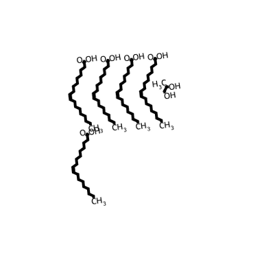 CC(O)CO.CCCCCCCC/C=C\CCCCCCCC(=O)O.CCCCCCCC/C=C\CCCCCCCC(=O)O.CCCCCCCC/C=C\CCCCCCCC(=O)O.CCCCCCCC/C=C\CCCCCCCC(=O)O.CCCCCCCC/C=C\CCCCCCCC(=O)O